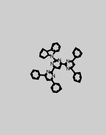 C1=CC2c3ccccc3N(c3nc(-c4nc(-c5ccccc5)cc(-c5ccccc5)n4)cc(-c4nc(-c5ccccc5)cc(-c5ccccc5)n4)n3)C2C=C1